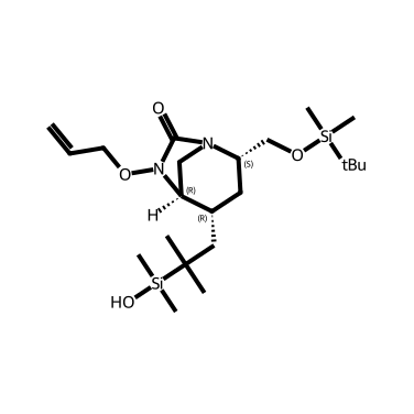 C=CCON1C(=O)N2C[C@H]1[C@@H](CC(C)(C)[Si](C)(C)O)C[C@H]2CO[Si](C)(C)C(C)(C)C